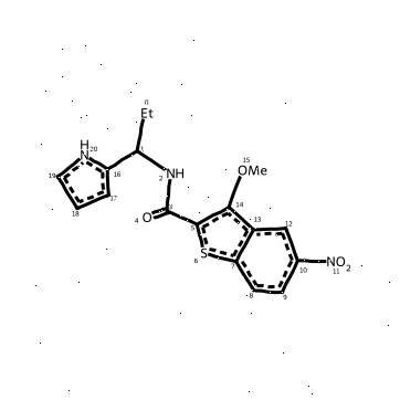 CCC(NC(=O)c1sc2ccc([N+](=O)[O-])cc2c1OC)c1ccc[nH]1